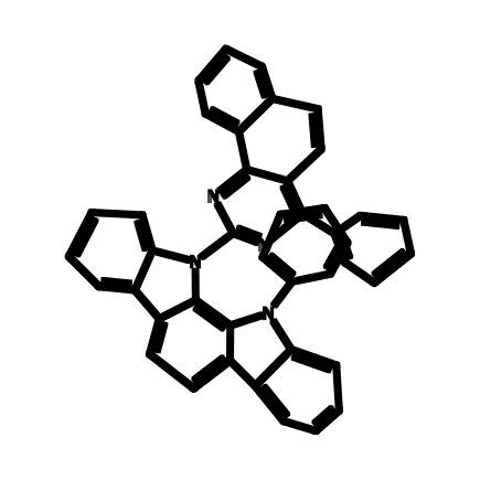 c1ccc(-c2nc(-n3c4ccccc4c4ccc5c6ccccc6n(-c6ccccc6)c5c43)nc3c2ccc2ccccc23)cc1